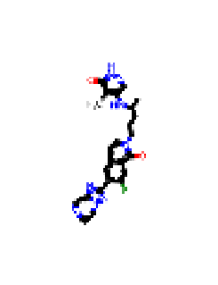 CC(CCCn1ccc2cc(-c3nc4cnccn4n3)c(F)cc2c1=O)Nc1cn[nH]c(=O)c1C(F)(F)F